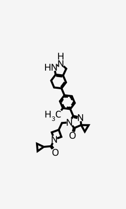 Cc1cc(C2=CC3=C(CC2)NNC3)ccc1C1=NC2(CC2)C(=O)N1CC1CN(C(=O)C2CC2)C1